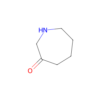 O=C1CCCCNC1